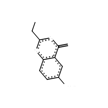 CC(C)Cc1nc2ccc(C(=O)O)cc2c(=O)[nH]1